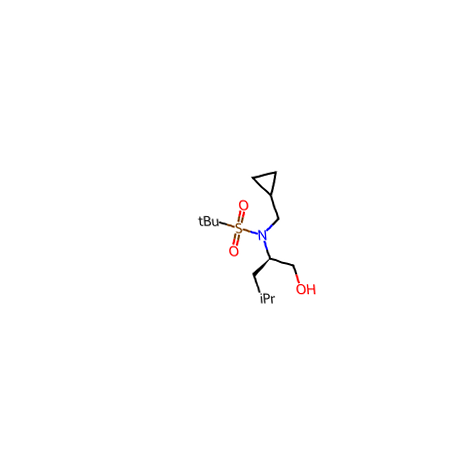 CC(C)C[C@H](CO)N(CC1CC1)S(=O)(=O)C(C)(C)C